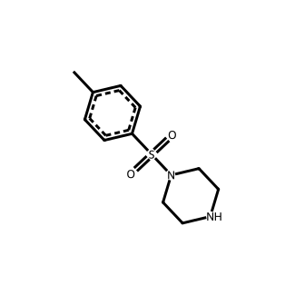 Cc1ccc(S(=O)(=O)N2CCNCC2)cc1